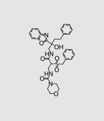 O=C(NCC(O)(CCc1ccccc1)c1nc2ccccc2o1)C(CNC(=O)N1CCOCC1)S(=O)(=O)Cc1ccccc1